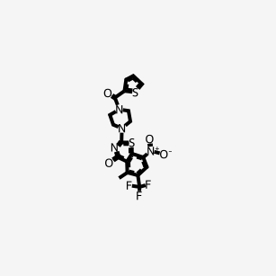 Cc1c(C(F)(F)F)cc([N+](=O)[O-])c2sc(N3CCN(C(=O)c4cccs4)CC3)nc(=O)c12